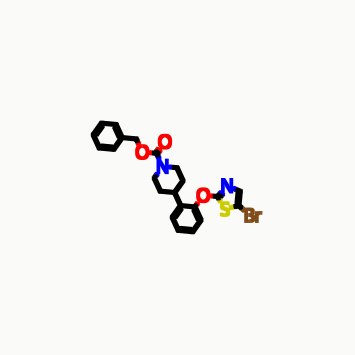 O=C(OCc1ccccc1)N1CCC(c2ccccc2Oc2ncc(Br)s2)CC1